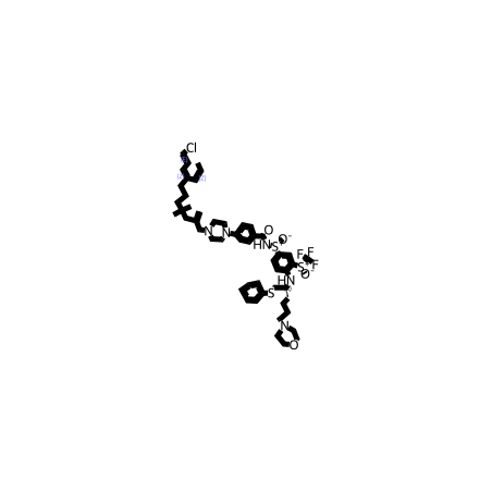 C=C(CN1CCN(c2ccc(C(=O)N[S+]([O-])c3ccc(N[C@H](CCCCN4CCOCC4)CSc4ccccc4)c([S+]([O-])C(F)(F)F)c3)cc2)CC1)CC(C)(C)CCCC(/C=C\C)=C/C=C/Cl